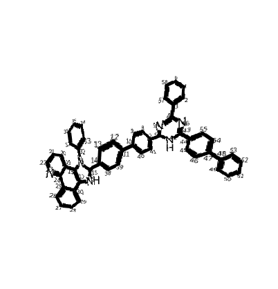 c1ccc(C2=NC(c3ccc(-c4ccc(C5Nc6c(c7cccnc7c7ccccc67)N5c5ccccc5)cc4)cc3)NC(c3ccc(-c4ccccc4)cc3)=N2)cc1